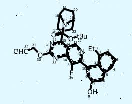 CCc1cccc2cc(O)cc(-c3ncc4c(N5CC6CCC(C5)N6C(=O)OC(C)(C)C)nc(OCC=O)nc4c3F)c12